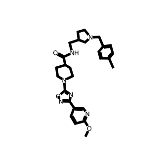 COc1ccc(-c2noc(N3CCC(C(=O)NCC4CCN(Cc5ccc(C)cc5)C4)CC3)n2)cn1